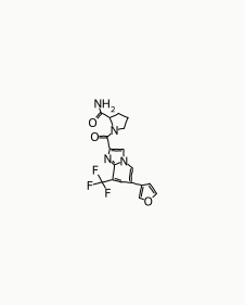 NC(=O)C1CCCN1C(=O)c1cn2cc(-c3ccoc3)cc(C(F)(F)F)c2n1